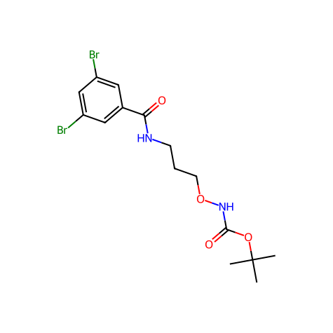 CC(C)(C)OC(=O)NOCCCNC(=O)c1cc(Br)cc(Br)c1